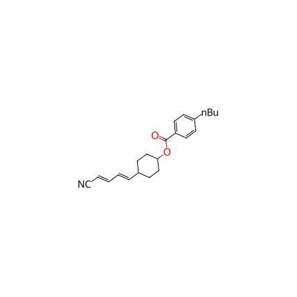 CCCCc1ccc(C(=O)OC2CCC(C=CC=CC#N)CC2)cc1